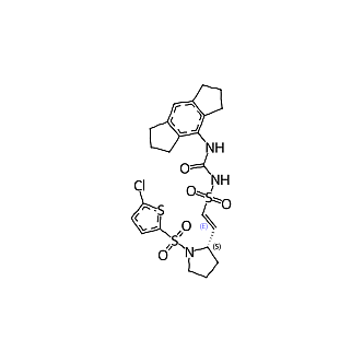 O=C(Nc1c2c(cc3c1CCC3)CCC2)NS(=O)(=O)/C=C/[C@@H]1CCCN1S(=O)(=O)c1ccc(Cl)s1